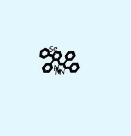 c1ccc(-c2nnnc(-c3ccc4[se]c5ccccc5c4c3-c3ccccc3)c2-c2ccccc2)cc1